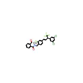 CN(Cc1ccc(/C=C/C(c2cc(Cl)cc(Cl)c2)C(F)(F)F)cc1F)C(=O)c1ccccc1C=O